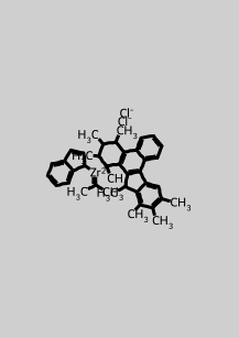 C[C](C)=[Zr+2]([CH]1C=Cc2ccccc21)[C]1(C)c2c3c(c4ccccc4c2C(C)C(C)C1C)-c1cc(C)c(C)c(C)c1C3C.[Cl-].[Cl-]